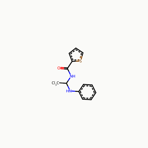 O=C(NC(Nc1ccccc1)C(Cl)(Cl)Cl)c1cccs1